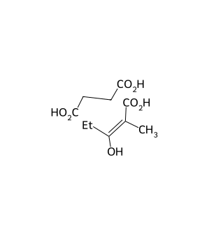 CC/C(O)=C(/C)C(=O)O.O=C(O)CCC(=O)O